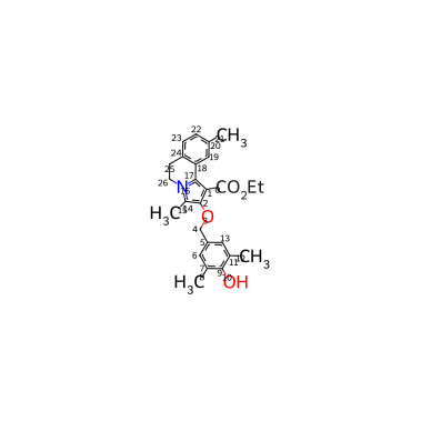 CCOC(=O)c1c(OCc2cc(C)c(O)c(C)c2)c(C)n2c1-c1cc(C)ccc1CC2